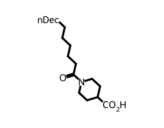 CCCCCCCCCCCCCCCC(=O)N1CCC(C(=O)O)CC1